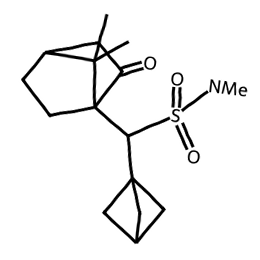 CNS(=O)(=O)C(C12CC(C1)C2)C12CCC(CC1=O)C2(C)C